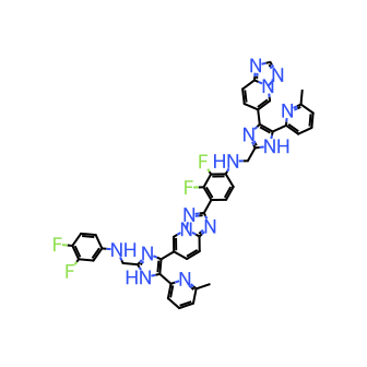 Cc1cccc(-c2[nH]c(CNc3ccc(F)c(F)c3)nc2-c2ccc3nc(-c4ccc(NCc5nc(-c6ccc7ncnn7c6)c(-c6cccc(C)n6)[nH]5)c(F)c4F)nn3c2)n1